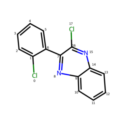 Clc1ccccc1-c1nc2ccccc2nc1Cl